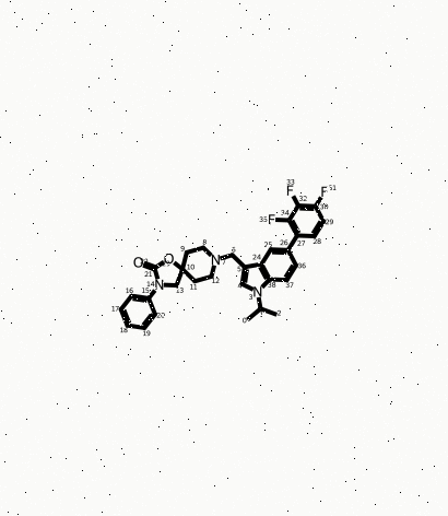 CC(C)n1cc(CN2CCC3(CC2)CN(c2ccccc2)C(=O)O3)c2cc(-c3ccc(F)c(F)c3F)ccc21